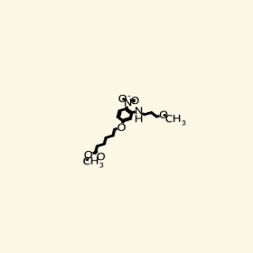 COCCCNc1cc(OCCCCCC(=O)OC)ccc1[N+](=O)[O-]